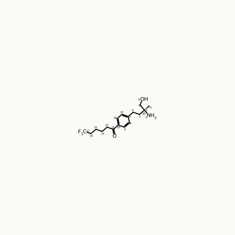 C[C@](N)(CO)CCc1ccc(C(=O)CCCCC(F)(F)F)cc1